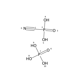 N#CP(=O)(O)O.O=P(O)(O)O